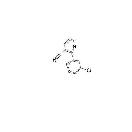 N#Cc1cccnc1-c1cc[c]c(Cl)c1